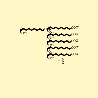 CCCCCCCC/C=C\CCCCCCCC(=O)[O-].CCCCCCCC/C=C\CCCCCCCC(=O)[O-].CCCCCCCC/C=C\CCCCCCCC(=O)[O-].CCCCCCCC/C=C\CCCCCCCC(=O)[O-].CCCCCCCC/C=C\CCCCCCCC(=O)[O-].CCCCCCCC/C=C\CCCCCCCC(=O)[O-].[Cu+2].[Cu+2].[Cu+2]